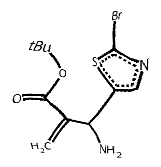 C=C(C(=O)OC(C)(C)C)C(N)c1cnc(Br)s1